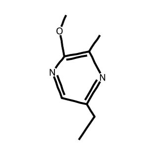 CCc1cnc(OC)c(C)n1